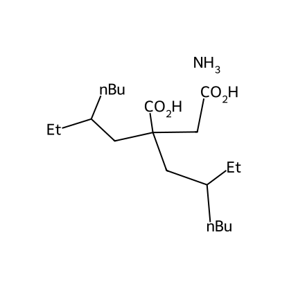 CCCCC(CC)CC(CC(=O)O)(CC(CC)CCCC)C(=O)O.N